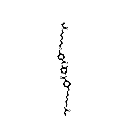 C=CC(=O)OCCCCCCOCc1ccc(C(=O)Oc2ccc(OC(=O)c3ccc(OCCCCCCOC(=O)C=C)cc3)cc2C)cc1